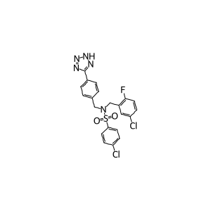 O=S(=O)(c1ccc(Cl)cc1)N(Cc1ccc(-c2nn[nH]n2)cc1)Cc1cc(Cl)ccc1F